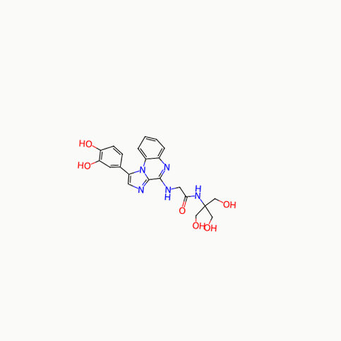 O=C(CNc1nc2ccccc2n2c(-c3ccc(O)c(O)c3)cnc12)NC(CO)(CO)CO